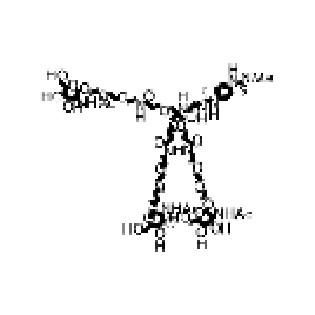 CNC(=S)Nc1ccc(NC(=S)NCC(=O)NC(COCCC(=O)NCCOCCOCCO[C@@H]2OC(CO)[C@H](O)C(O)[C@@H]2NC(C)=O)(COCCC(=O)NCCOCCOCCO[C@@H]2OC(CO)[C@H](O)C(O)[C@@H]2NC(C)=O)COCCC(=O)NCCOCCOCCO[C@@H]2OC(CO)[C@H](O)C(O)[C@@H]2NC(C)=O)cc1